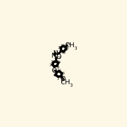 COc1ccc(Oc2ccc(-c3nnc(-c4ccc(C)cc4)o3)cc2)cc1